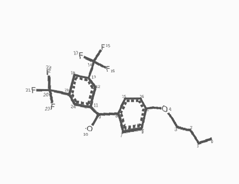 CCCCOc1ccc(C([O])c2cc(C(F)(F)F)cc(C(F)(F)F)c2)cc1